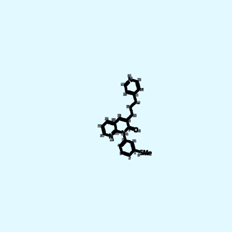 CSc1cccc(-n2c(=O)c(CCCc3ccncc3)cc3cccnc32)c1